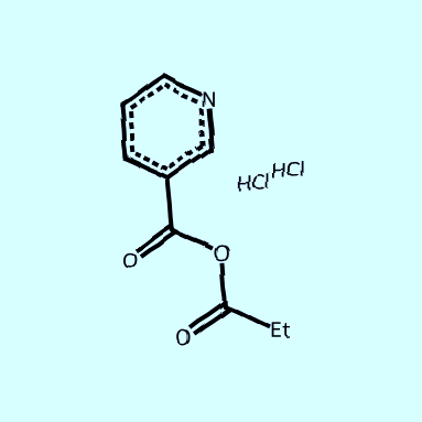 CCC(=O)OC(=O)c1cccnc1.Cl.Cl